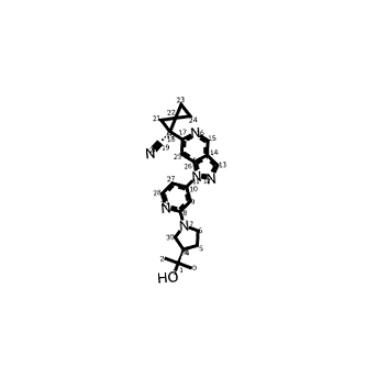 CC(C)(O)[C@@H]1CCN(c2cc(-n3ncc4cnc([C@@]5(C#N)CC56CC6)cc43)ccn2)C1